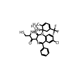 CNC1(N2C(=O)C(C(=O)C(N)CS)N=C(c3ccccc3)c3cc(Cl)ccc32)CC(C(F)(F)F)=CC=C1C